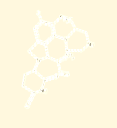 CC1CNCC(C)N1c1c(F)c(F)cc2c1C(C(=O)C=O)N(C1CCC(=O)NC1=O)C2